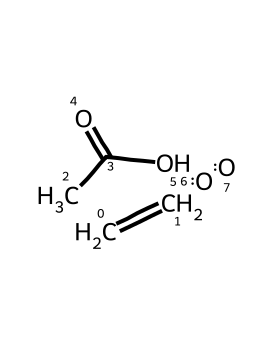 C=C.CC(=O)O.[O].[O]